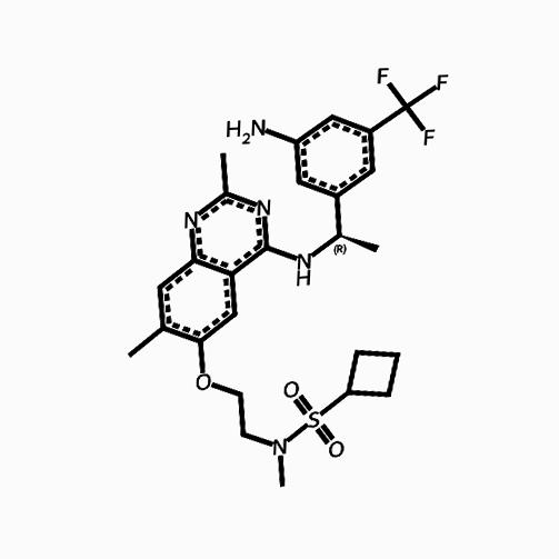 Cc1nc(N[C@H](C)c2cc(N)cc(C(F)(F)F)c2)c2cc(OCCN(C)S(=O)(=O)C3CCC3)c(C)cc2n1